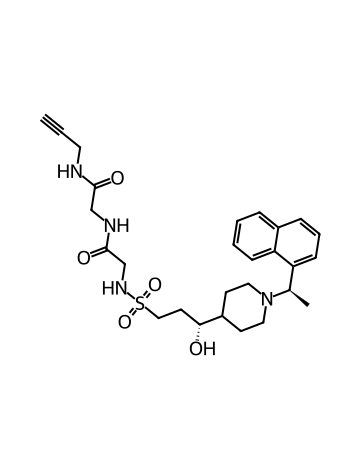 C#CCNC(=O)CNC(=O)CNS(=O)(=O)CC[C@@H](O)C1CCN([C@H](C)c2cccc3ccccc23)CC1